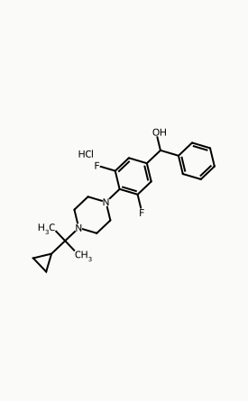 CC(C)(C1CC1)N1CCN(c2c(F)cc(C(O)c3ccccc3)cc2F)CC1.Cl